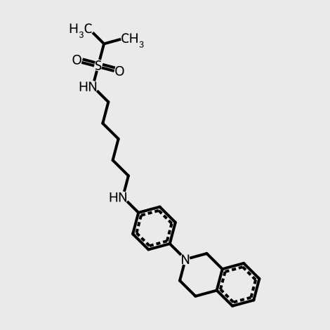 CC(C)S(=O)(=O)NCCCCCNc1ccc(N2CCc3ccccc3C2)cc1